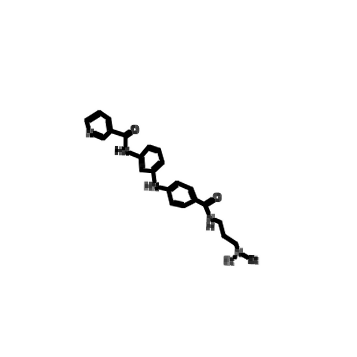 CCN(CC)CCCNC(=O)c1ccc(Nc2cccc(NC(=O)c3cccnc3)c2)cc1